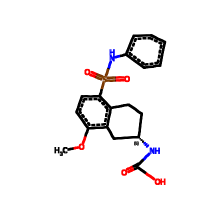 COc1ccc(S(=O)(=O)Nc2ccccc2)c2c1C[C@@H](NC(=O)O)CC2